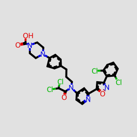 O=C(O)N1CCN(c2ccc(CCCN(C(=O)C(Cl)Cl)c3ccnc(-c4cc(-c5c(Cl)cccc5Cl)no4)c3)cc2)CC1